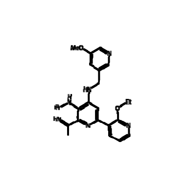 CCOc1ncccc1-c1cc(NCc2cncc(OC)c2)c(NC(C)C)c(C(C)=N)n1